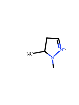 CN1[N+]=CCC1C#N